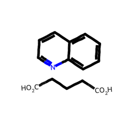 O=C(O)CCCC(=O)O.c1ccc2ncccc2c1